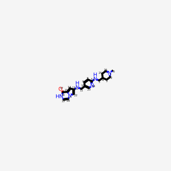 CN1CCC(CNc2ccc(CNc3cc4c(=O)[nH]ccn4c3)cn2)CC1